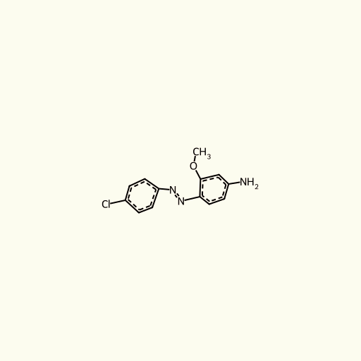 COc1cc(N)ccc1/N=N/c1ccc(Cl)cc1